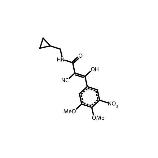 COc1cc(/C(O)=C(\C#N)C(=O)NCC2CC2)cc([N+](=O)[O-])c1OC